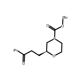 CC(C)C(=O)CC[C@H]1CN(C(=O)OC(C)(C)C)CCO1